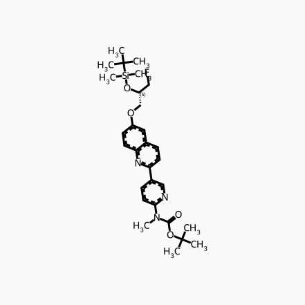 CN(C(=O)OC(C)(C)C)c1ccc(-c2ccc3cc(OC[C@@H](CF)O[Si](C)(C)C(C)(C)C)ccc3n2)cn1